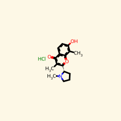 Cc1c([C@@H]2CCCN2C)oc2c(C)c(O)ccc2c1=O.Cl